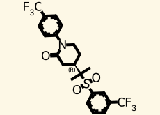 CC(C)([C@@H]1CCN(c2ccc(C(F)(F)F)cc2)C(=O)C1)S(=O)(=O)c1cccc(C(F)(F)F)c1